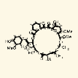 CC[C@@H]1/C=C(\C)C[C@@H](C)C[C@H](OC)[C@H]2O[C@@](O)(C(=O)C(=O)N3CCCCC3C(=O)O[C@H](/C(C)=C/[C@@H]3CC[C@@H](O)[C@H](OC)C3)[C@H](C)[C@@H](O)CC1=O)[C@H](C)C[C@@H]2OC